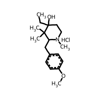 CCC1(O)CCN(C)C(Cc2ccc(OC)cc2)C1(C)C.Cl